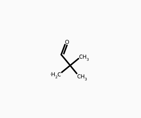 [CH2]C(C)(C)C=O